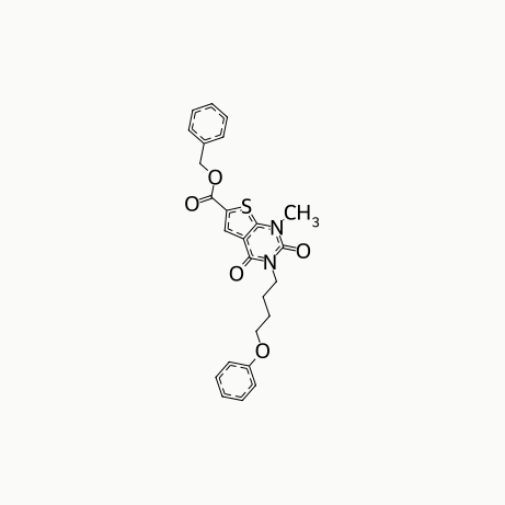 Cn1c(=O)n(CCCCOc2ccccc2)c(=O)c2cc(C(=O)OCc3ccccc3)sc21